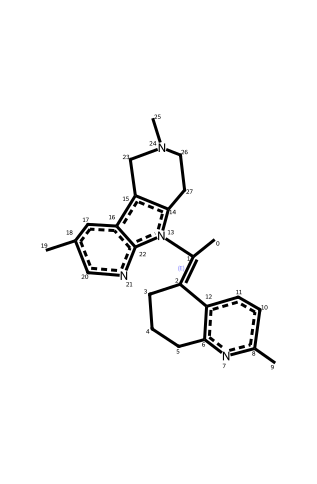 C/C(=C1/CCCc2nc(C)ccc21)n1c2c(c3cc(C)cnc31)CN(C)CC2